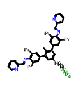 Cc1c(-c2cc(C(C)C)c(N=Cc3ccccn3)c(C(C)C)c2)cc([N+](=O)[O-])cc1-c1cc(C(C)C)c(N=Cc2ccccn2)c(C(C)C)c1.[Br-].[Br-].[Br-].[Br-].[Ni].[Ni]